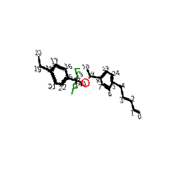 CCCCCc1ccc(C(C)OC(F)(F)c2ccc(CC)cc2)cc1